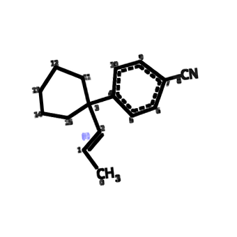 C/C=C/C1(c2ccc(C#N)cc2)CCCCC1